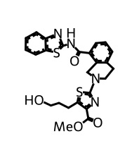 COC(=O)c1nc(N2CCc3cccc(C(=O)Nc4nc5ccccc5s4)c3C2)sc1CCCO